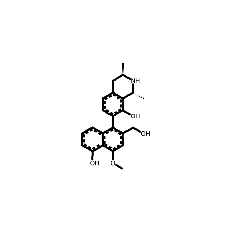 COc1cc(CO)c(-c2ccc3c(c2O)[C@@H](C)N[C@H](C)C3)c2cccc(O)c12